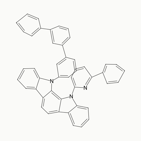 c1ccc(-c2cccc(-c3cccc(-n4c5ccccc5c5ccc6c7ccccc7n(-c7cccc(-c8ccccc8)n7)c6c54)c3)c2)cc1